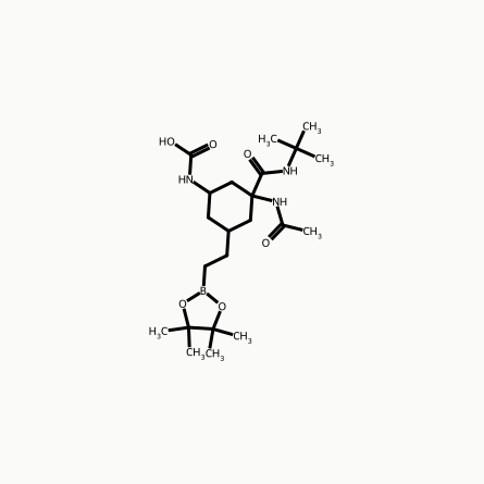 CC(=O)NC1(C(=O)NC(C)(C)C)CC(CCB2OC(C)(C)C(C)(C)O2)CC(NC(=O)O)C1